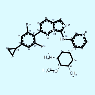 CO[C@@H]1[C@H](N)C[C@H](c2ccncc2Nc2ncc3ccc(-c4c(F)cc(C5CC5)cc4F)nn23)C[C@@H]1C